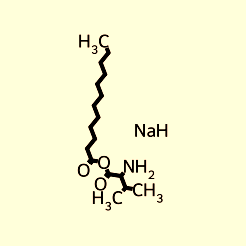 CCCCCCCCCCCC(=O)OC(=O)C(N)C(C)C.[NaH]